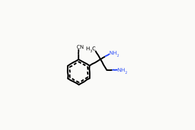 CC(N)(CN)c1ccccc1C#N